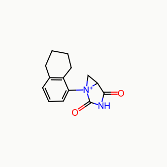 O=C1NC(=O)[N+]2(c3cccc4c3CCCC4)CC12